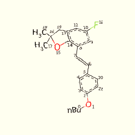 CCCCOc1ccc(C=Cc2cc(F)cc3c2OC(C)(C)C3)cc1